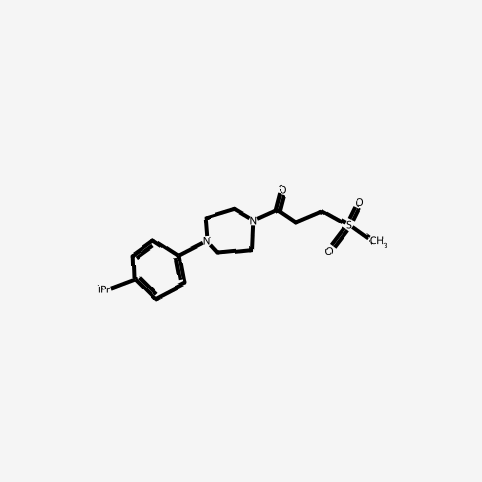 CC(C)c1ccc(N2CCN(C(=O)CCS(C)(=O)=O)CC2)cc1